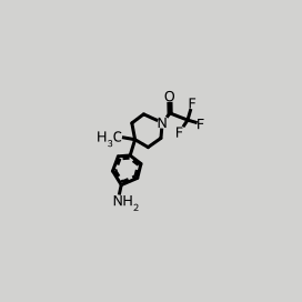 CC1(c2ccc(N)cc2)CCN(C(=O)C(F)(F)F)CC1